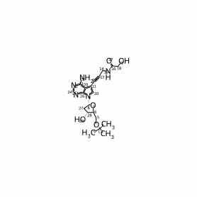 CC(C)(C)OCC1O[C@@H](n2cc(C#CCNC(=O)CO)c3c(N)ncnc32)C[C@H]1O